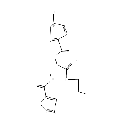 CCCCc1ccc(C(=O)N[C@@H](CNC(=O)c2cccs2)C(=O)NCCC(C)C)cc1